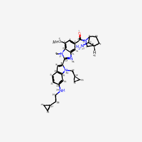 COc1cc(C(=O)N2C[C@H]3CCC2C3N)cc2nc(-c3cc4ccc(NCCC5CC5)cc4n3CC3CC3)n(C)c12